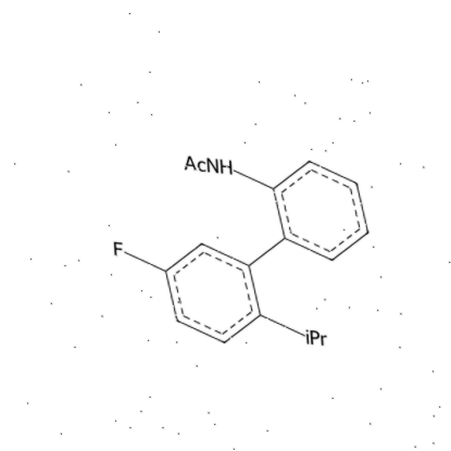 CC(=O)Nc1ccccc1-c1cc(F)ccc1C(C)C